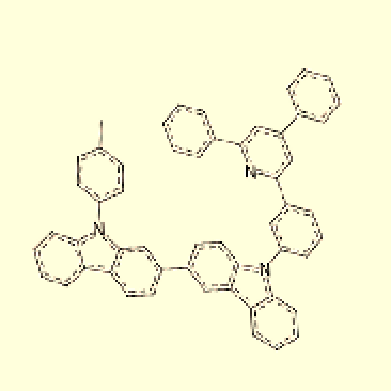 Cc1ccc(-n2c3ccccc3c3ccc(-c4ccc5c(c4)c4ccccc4n5-c4cccc(-c5cc(-c6ccccc6)cc(-c6ccccc6)n5)c4)cc32)cc1